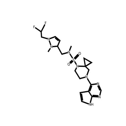 CN1C(CN(C)S(=O)(=O)N2CCN(c3ncnc4[nH]ccc34)CC23CC3)C=CN1CC(F)F